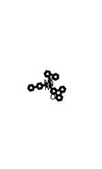 c1ccc(-c2ccc(-c3nc(-c4cc5oc6cccc7c8ccccc8c(c4)c5c67)nc(-n4c5ccccc5c5ccccc54)n3)cc2)cc1